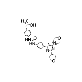 CC(O)Cc1ccc(NC(=O)Nc2ccc(-c3nc(C4CCOCC4)nc(N4C5CCC4COC5)n3)cc2)cc1